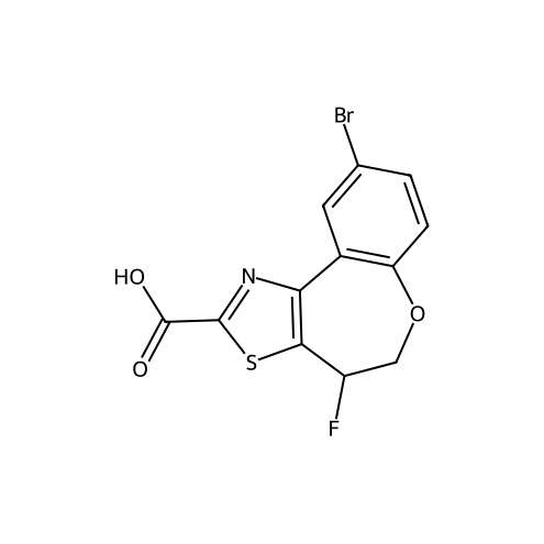 O=C(O)c1nc2c(s1)C(F)COc1ccc(Br)cc1-2